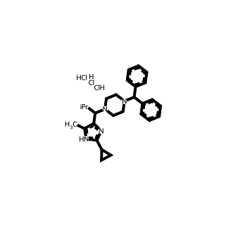 Cc1[nH]c(C2CC2)nc1C(C(C)C)N1CCN(C(c2ccccc2)c2ccccc2)CC1.Cl.Cl.Cl